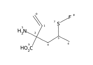 C=CC(N)(CC(C)SF)C(=O)O